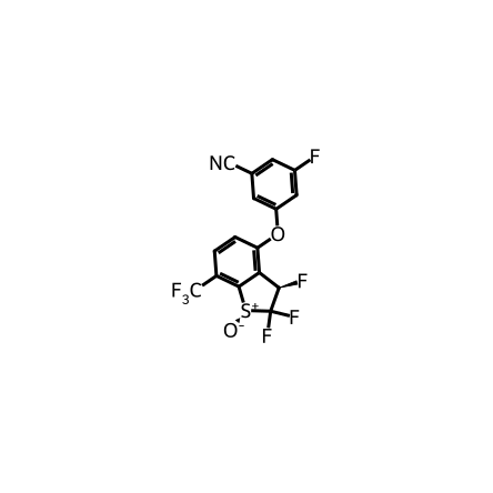 N#Cc1cc(F)cc(Oc2ccc(C(F)(F)F)c3c2[C@@H](F)C(F)(F)[S@@+]3[O-])c1